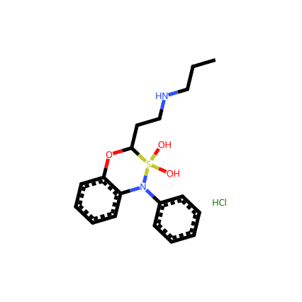 CCCNCCC1Oc2ccccc2N(c2ccccc2)S1(O)O.Cl